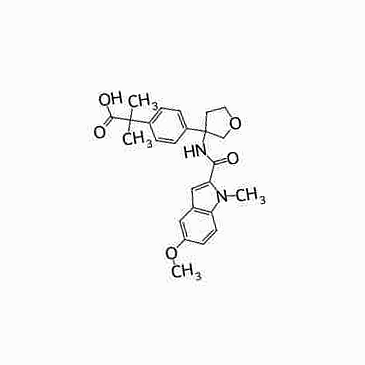 COc1ccc2c(c1)cc(C(=O)NC1(c3ccc(C(C)(C)C(=O)O)cc3)CCOC1)n2C